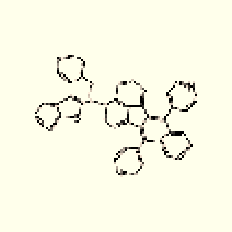 c1ccc2c(c1)cc(-c1ccc3c4c(cccc14)-c1c-3c(-c3ccncc3)c3ccccc3c1-c1ccncc1)c1sc3ccccc3c12